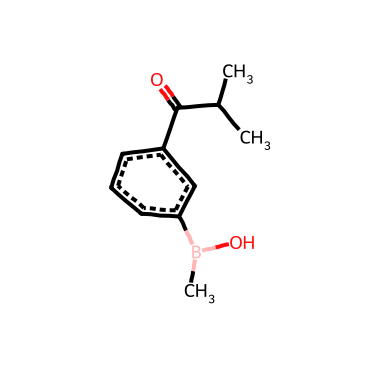 CB(O)c1cccc(C(=O)C(C)C)c1